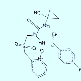 N#CC1(NC(=O)[C@H](CS(=O)(=O)Cc2cccc[n+]2[O-])N[C@@H](c2ccc(F)cc2)C(F)(F)F)CC1